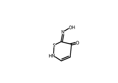 O=c1cc[nH]s/c1=N/O